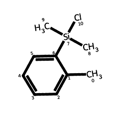 Cc1ccccc1[Si](C)(C)Cl